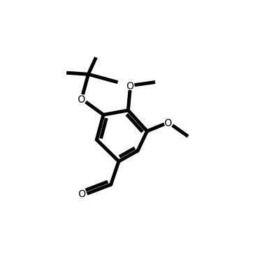 COc1cc(C=O)cc(OC(C)(C)C)c1OC